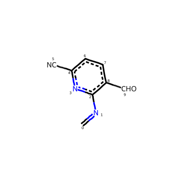 C=Nc1nc(C#N)ccc1C=O